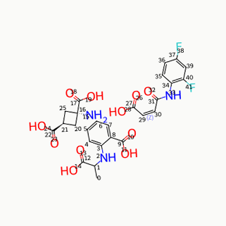 CC(Nc1ccccc1C(=O)O)C(=O)O.N[C@]1(C(=O)O)C[C@@H](C(=O)O)C1.O=C(O)/C=C\C(=O)Nc1ccc(F)cc1F